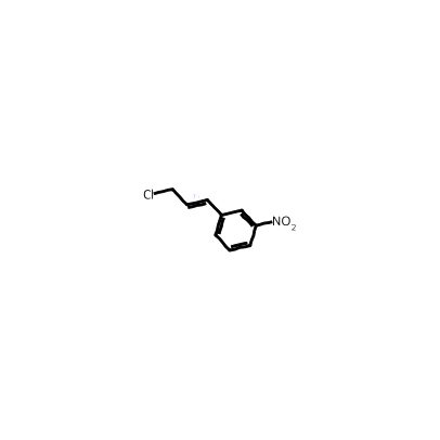 O=[N+]([O-])c1cccc(/C=C/CCl)c1